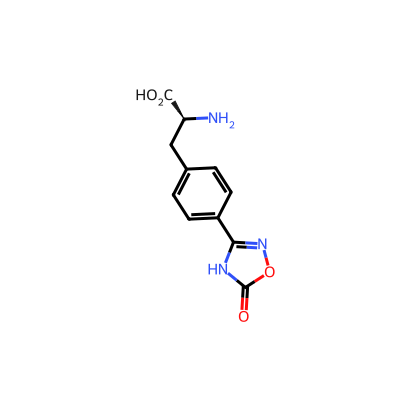 N[C@@H](Cc1ccc(-c2noc(=O)[nH]2)cc1)C(=O)O